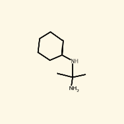 CC(C)(N)NC1CCCCC1